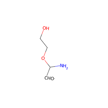 NC([C]=O)OCCO